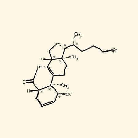 CC(C)CCC[C@@H](C)[C@H]1CC[C@H]2C3=C(CC[C@]12C)[C@]1(C)[C@H](CC=C[C@@H]1O)C(=O)O3